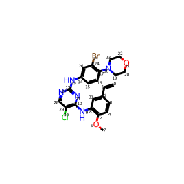 C=Cc1ccc(OC)c(Nc2nc(Nc3ccc(N4CCOCC4)c(Br)c3)ncc2Cl)c1